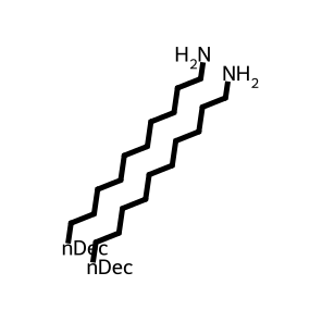 CCCCCCCCCCCCCCCCCCCCN.CCCCCCCCCCCCCCCCCCCCN